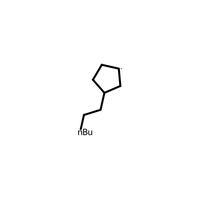 CCCCCCC1C[CH]CC1